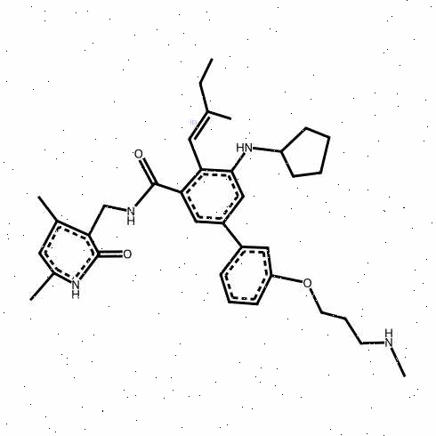 CC/C(C)=C/c1c(NC2CCCC2)cc(-c2cccc(OCCCNC)c2)cc1C(=O)NCc1c(C)cc(C)[nH]c1=O